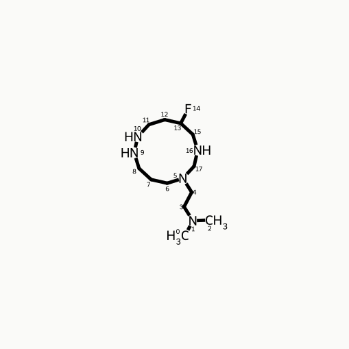 CN(C)CCN1CCCNNCCC(F)CNC1